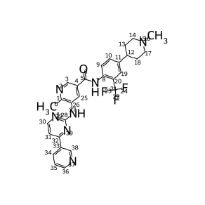 Cc1ncc(C(=O)Nc2ccc(C3CCN(C)CC3)cc2C(F)(F)F)cc1Nc1nccc(-c2cccnc2)n1